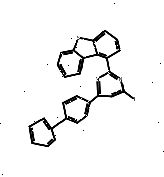 Ic1cc(-c2ccc(-c3ccccc3)cc2)nc(-c2cccc3sc4ccccc4c23)n1